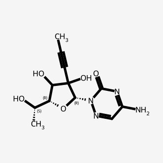 CC#CC1(O)C(O)[C@@H]([C@H](C)O)O[C@H]1n1ncc(N)nc1=O